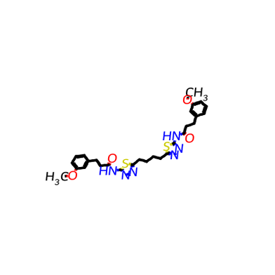 COc1cccc(CCC(=O)Nc2nnc(CCCCc3nnc(NC(=O)CCc4cccc(OC)c4)s3)s2)c1